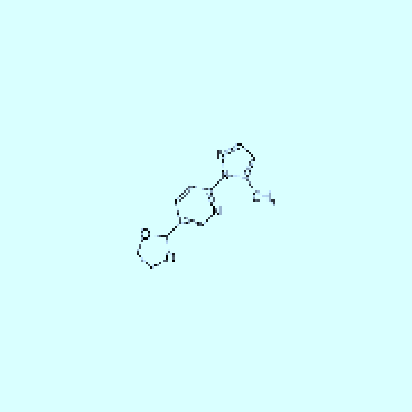 Cc1ccnn1-c1ccc(C2OCCO2)cn1